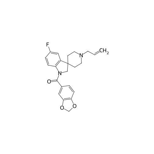 C=CCN1CCC2(CC1)CN(C(=O)c1ccc3c(c1)OCO3)c1ccc(F)cc12